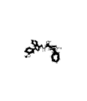 COc1cccc(-c2ccc(CNC(=O)c3c[nH]c(-c4ccccc4)n3)c3cnccc23)c1